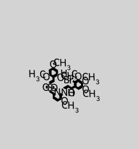 COc1cc(OC)c(/C=C/S(=O)(=O)Cc2ccc(OC)c(N/C=C\C(=O)c3cc(OC)c(OC)c(OC)c3Br)n2)c(OC)c1